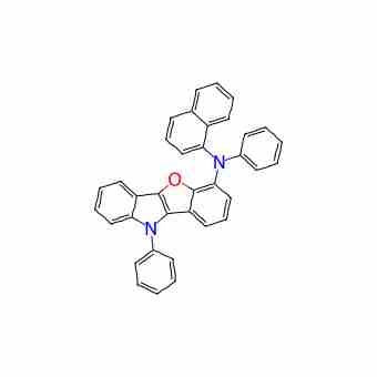 c1ccc(N(c2cccc3ccccc23)c2cccc3c2oc2c4ccccc4n(-c4ccccc4)c32)cc1